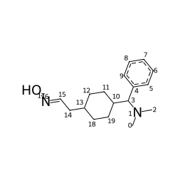 CN(C)C(c1ccccc1)C1CCC(C/C=N/O)CC1